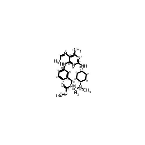 C/C=N\c1c(C)nc(N[C@H]2CC[C@H](N(C)C)CC2)nc1Nc1cccc(CNC(=O)OC(C)(C)C)c1